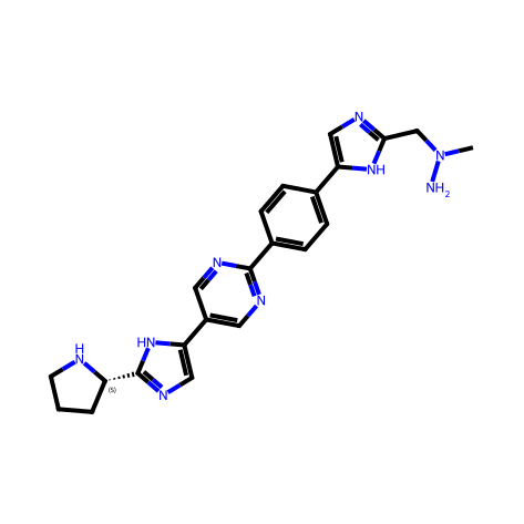 CN(N)Cc1ncc(-c2ccc(-c3ncc(-c4cnc([C@@H]5CCCN5)[nH]4)cn3)cc2)[nH]1